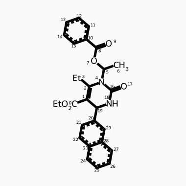 CCOC(=O)C1=C(CC)N(C(C)OC(=O)c2ccccc2)C(=O)NC1c1ccc2ccccc2c1